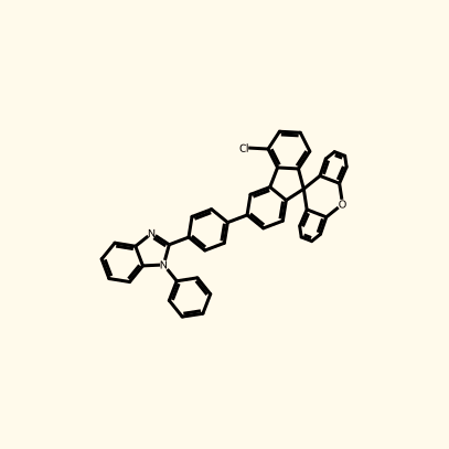 Clc1cccc2c1-c1cc(-c3ccc(-c4nc5ccccc5n4-c4ccccc4)cc3)ccc1C21c2ccccc2Oc2ccccc21